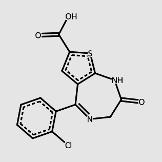 O=C1CN=C(c2ccccc2Cl)c2cc(C(=O)O)sc2N1